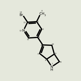 Cc1cc(C2=CC3NCC3C2)cnc1Br